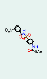 CNC(=O)Nc1ccc(S(=O)(=O)NC(=O)c2cccc([N+](=O)[O-])c2)cc1